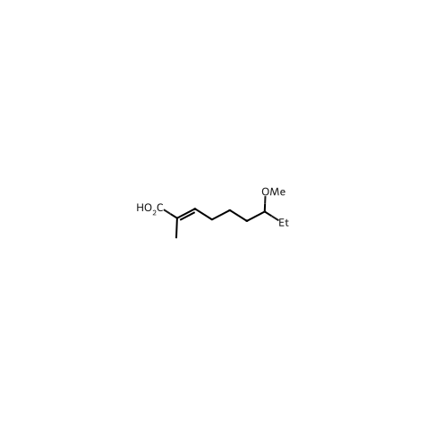 CCC(CCCC=C(C)C(=O)O)OC